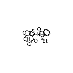 CCOc1ccccc1C(=O)Nc1sc2c(c1C(=O)C1CCC1)C(C)OC2